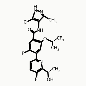 Cc1n[nH]c(Cl)c1NC(=O)c1cc(F)c(-c2ccc(F)c([C@H](C)O)n2)cc1O[C@@H](C)C(F)(F)F